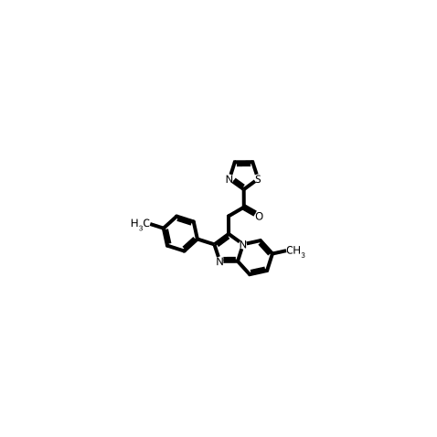 Cc1ccc(-c2nc3ccc(C)cn3c2CC(=O)c2nccs2)cc1